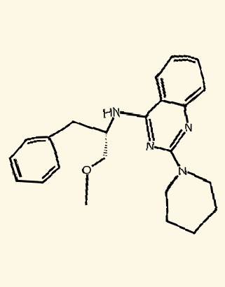 COC[C@H](Cc1ccccc1)Nc1nc(N2CCCCC2)nc2ccccc12